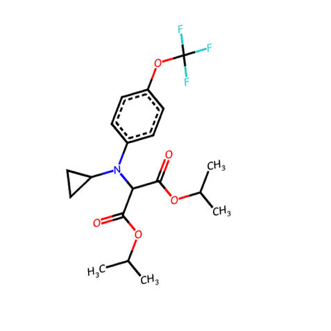 CC(C)OC(=O)C(C(=O)OC(C)C)N(c1ccc(OC(F)(F)F)cc1)C1CC1